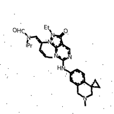 C/C=C\C(=C/N(C=O)C(C)C)n1c2nc(Nc3ccc4c(c3)CN(C)CC43CC3)ncc2c(=O)n1CC